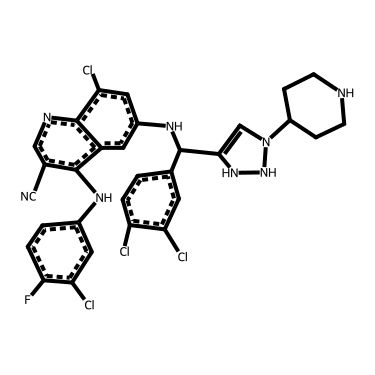 N#Cc1cnc2c(Cl)cc(NC(C3=CN(C4CCNCC4)NN3)c3ccc(Cl)c(Cl)c3)cc2c1Nc1ccc(F)c(Cl)c1